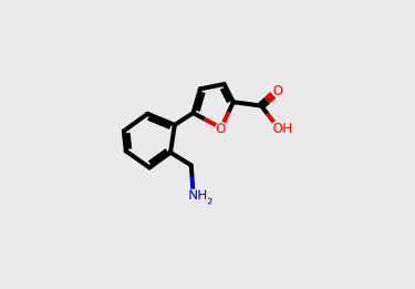 NCc1ccccc1-c1ccc(C(=O)O)o1